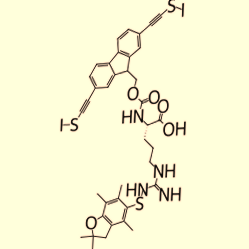 Cc1c(C)c(SNC(=N)NCCC[C@H](NC(=O)OCC2c3cc(C#CSI)ccc3-c3ccc(C#CSI)cc32)C(=O)O)c(C)c2c1OC(C)(C)C2